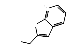 O=C(O)Cc1cc2cccnc2[nH]1